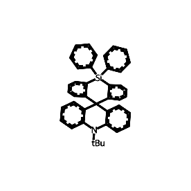 CC(C)(C)N1c2ccccc2C2(c3ccccc31)c1ccccc1[Si](c1ccccc1)(c1ccccc1)c1ccccc12